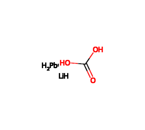 O=C(O)O.[LiH].[PbH2]